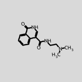 CN(C)CCNC(=O)c1c[nH]c(=O)c2ccccc12